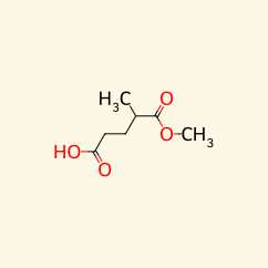 COC(=O)C(C)CCC(=O)O